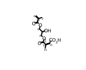 C=C(C)C(=O)OCC(O)COC(=O)C(C)=CC(=O)O